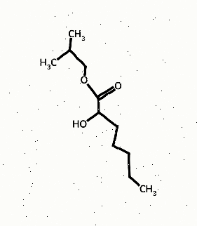 CCCCCC(O)C(=O)OCC(C)C